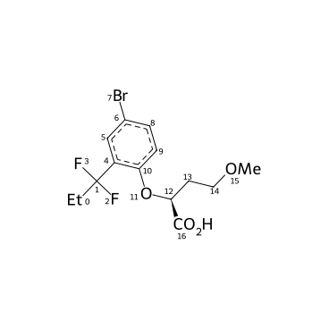 CCC(F)(F)c1cc(Br)ccc1O[C@@H](CCOC)C(=O)O